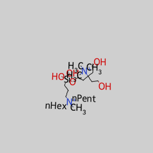 CCCCCC[N+](C)(CCCCC)CCC[Si](O)(O)OCCC(CCO)(CCO)[N+](C)(C)C